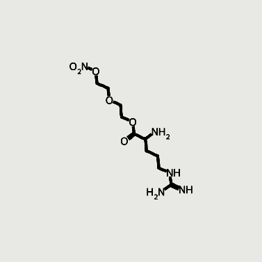 N=C(N)NCCCC(N)C(=O)OCCOCCO[N+](=O)[O-]